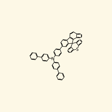 c1ccc(-c2ccc(N(c3ccc(-c4ccccc4)cc3)c3ccc(-c4ccc5c(c4)C4(c6ccccc6Sc6ccccc64)c4c-5ccc5ccccc45)cc3)cc2)cc1